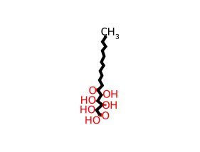 CCCCCCCCCCCCC(=O)[C@@H](O)[C@H](O)[C@@H](O)[C@@H](O)C(=O)O